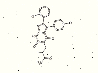 CC(Cn1c(=O)[nH]c2nc(-c3ccccc3Cl)n(-c3ccc(Cl)cc3)c2c1=O)C(N)=O